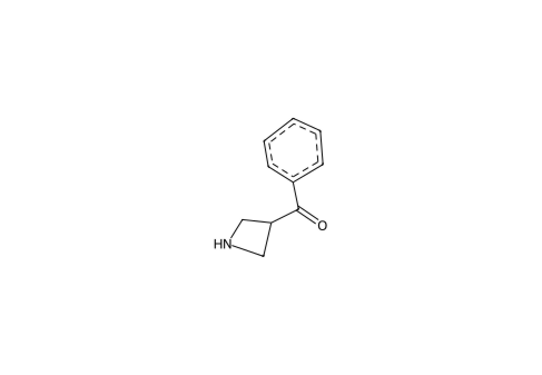 O=C(c1ccccc1)C1CNC1